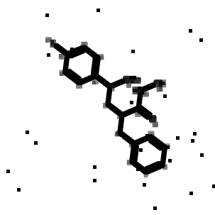 COC(CC(Cc1ccccc1)C(=O)NO)c1ccc(F)cc1